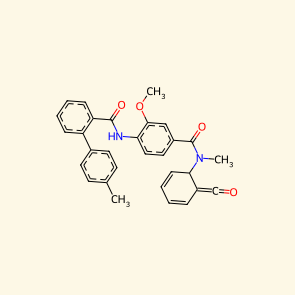 COc1cc(C(=O)N(C)C2C=CC=CC2=C=O)ccc1NC(=O)c1ccccc1-c1ccc(C)cc1